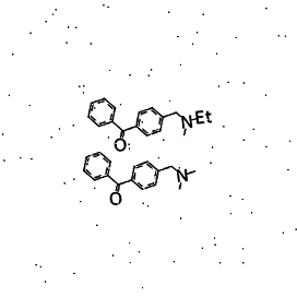 CCN(C)Cc1ccc(C(=O)c2ccccc2)cc1.CN(C)Cc1ccc(C(=O)c2ccccc2)cc1